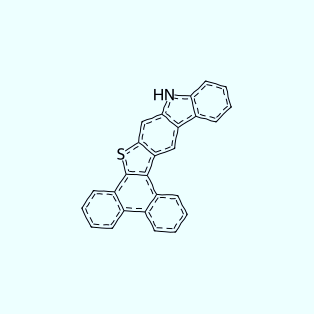 c1ccc2c(c1)[nH]c1cc3sc4c5ccccc5c5ccccc5c4c3cc12